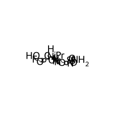 CC(C)C(C(=O)NC(Cc1ccc(OCCF)cc1)C(=O)O)n1cc(COc2ccc3nc(S(N)(=O)=O)sc3c2)nn1